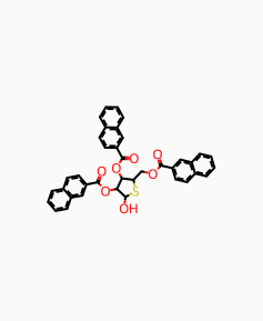 O=C(OCC1SC(O)C(OC(=O)c2ccc3ccccc3c2)C1OC(=O)c1ccc2ccccc2c1)c1ccc2ccccc2c1